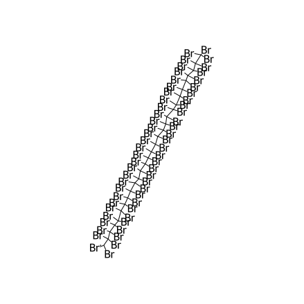 Br[C](Br)C(Br)(Br)C(Br)(Br)C(Br)(Br)C(Br)(Br)C(Br)(Br)C(Br)(Br)C(Br)(Br)C(Br)(Br)C(Br)(Br)C(Br)(Br)C(Br)(Br)C(Br)(Br)C(Br)(Br)C(Br)(Br)C(Br)(Br)C(Br)(Br)C(Br)(Br)C(Br)(Br)C(Br)(Br)C(Br)(Br)C(Br)(Br)C(Br)(Br)C(Br)(Br)C(Br)(Br)C(Br)(Br)C(Br)(Br)C(Br)(Br)C(Br)(Br)Br